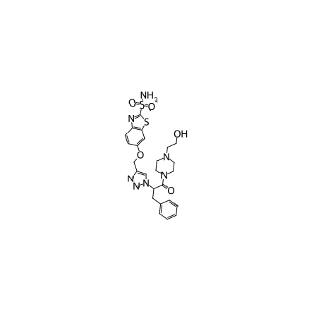 NS(=O)(=O)c1nc2ccc(OCc3cn(C(Cc4ccccc4)C(=O)N4CCN(CCO)CC4)nn3)cc2s1